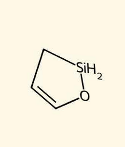 C1=CO[SiH2]C1